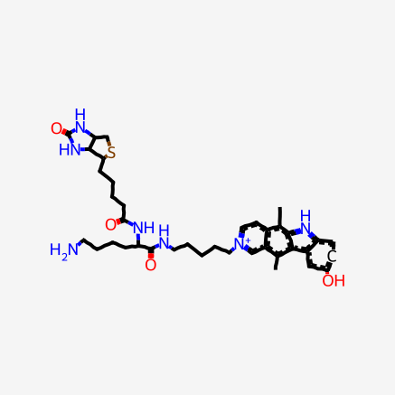 Cc1c2cc[n+](CCCCCNC(=O)C(CCCCN)NC(=O)CCCCC3SCC4NC(=O)NC43)cc2c(C)c2c1[nH]c1ccc(O)cc12